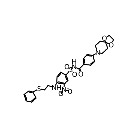 O=C(NS(=O)(=O)c1ccc(NCCSc2ccccc2)c([N+](=O)[O-])c1)c1ccc(N2CCC3(CC2)OCCO3)cc1